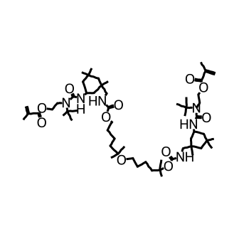 C=C(C)C(=O)OCCN(C(=O)NC1CC(C)(C)CC(C)(CNC(=O)OCCCCC(C)(C)OCCCCC(C)(C)OC(=O)NCC2(C)CC(NC(=O)N(CCOC(=O)C(=C)C)C(C)(C)C)CC(C)(C)C2)C1)C(C)(C)C